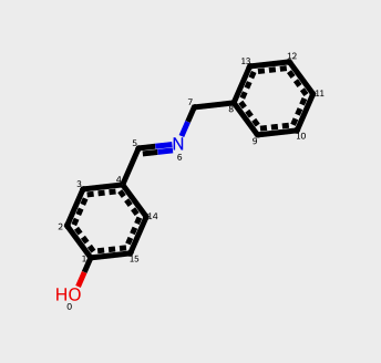 Oc1ccc(C=NCc2ccccc2)cc1